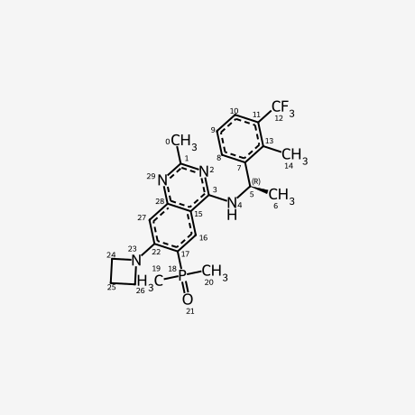 Cc1nc(N[C@H](C)c2cccc(C(F)(F)F)c2C)c2cc(P(C)(C)=O)c(N3CCC3)cc2n1